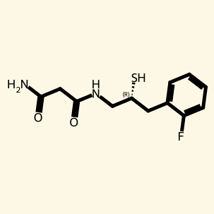 NC(=O)CC(=O)NC[C@H](S)Cc1ccccc1F